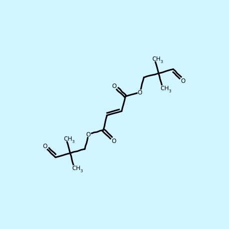 CC(C)(C=O)COC(=O)C=CC(=O)OCC(C)(C)C=O